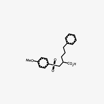 COc1ccc(S(=O)(=O)CC(CCCc2ccccc2)C(=O)O)cc1